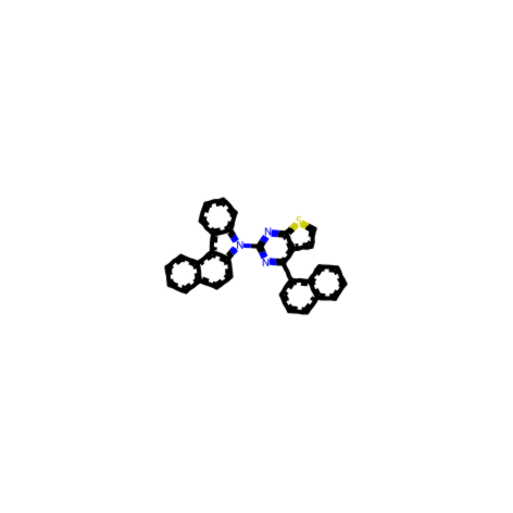 c1ccc2c(-c3nc(-n4c5ccccc5c5c6ccccc6ccc54)nc4sccc34)cccc2c1